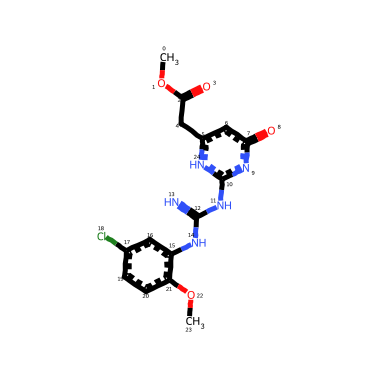 COC(=O)Cc1cc(=O)nc(NC(=N)Nc2cc(Cl)ccc2OC)[nH]1